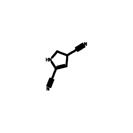 N#CC1=CC(C#N)CN1